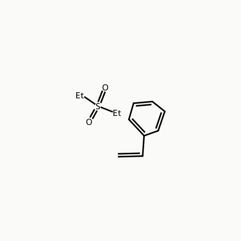 C=Cc1ccccc1.CCS(=O)(=O)CC